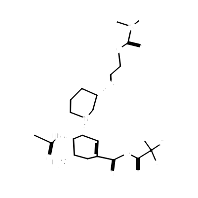 CC(=O)N[C@@H]1[C@H](N2CCC[C@H](OCCOC(=O)N(C)C)C2)C=C(C(=O)OC(=O)C(F)(F)F)C[C@@H]1N